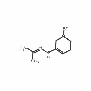 CC(=O)N1CCC=C(NN=C(C)C)C1